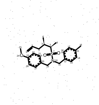 C=CC[C@@H](C)[C@@H](C)S(=O)(=O)N(Cc1ccc(C)cc1)Cc1ccc(OC)cc1